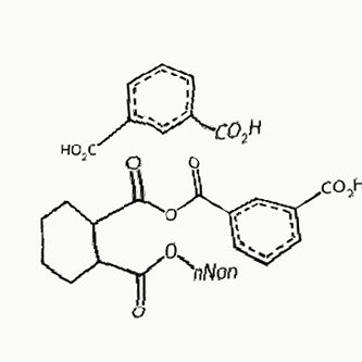 CCCCCCCCCOC(=O)C1CCCCC1C(=O)OC(=O)c1cccc(C(=O)O)c1.O=C(O)c1cccc(C(=O)O)c1